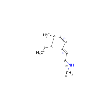 CCCC(C)/C=C\C=C\CNC